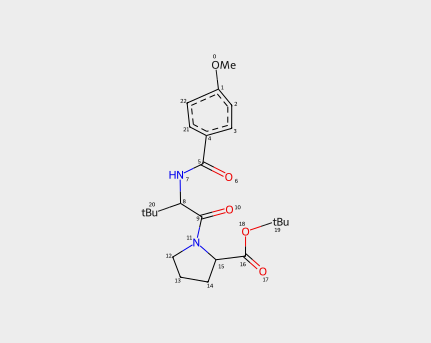 COc1ccc(C(=O)NC(C(=O)N2CCCC2C(=O)OC(C)(C)C)C(C)(C)C)cc1